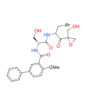 COc1ccc(-c2ccccc2)cc1C(=O)N[C@@H](CO)C(=O)NC(CC(C)C)C(=O)C1(CO)CO1